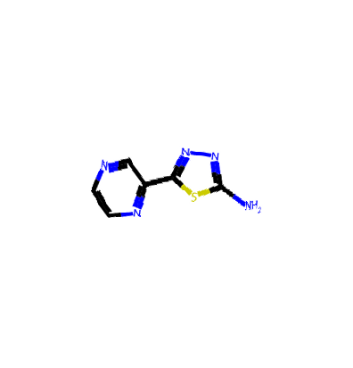 Nc1nnc(-c2cnccn2)s1